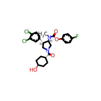 CN(C(=O)Oc1ccc(F)cc1)[C@H]1CN(C(=O)[C@H]2CC[C@H](O)CC2)C[C@@H]1c1ccc(Cl)c(Cl)c1